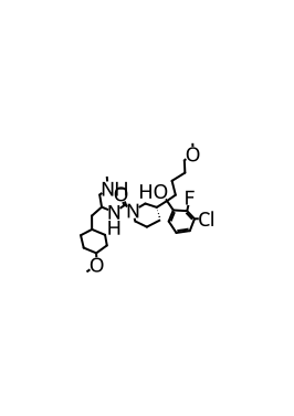 CNCC(CC1CCC(OC)CC1)NC(=O)N1CCC[C@@H]([C@@](O)(CCCCOC)c2cccc(Cl)c2F)C1